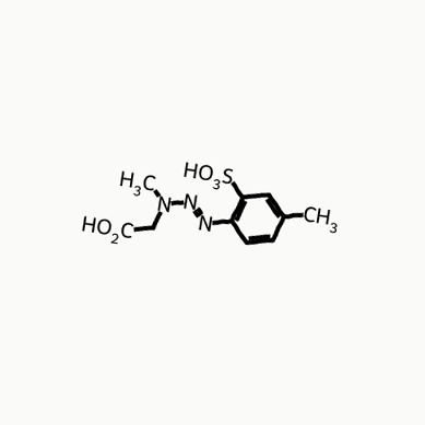 Cc1ccc(N=NN(C)CC(=O)O)c(S(=O)(=O)O)c1